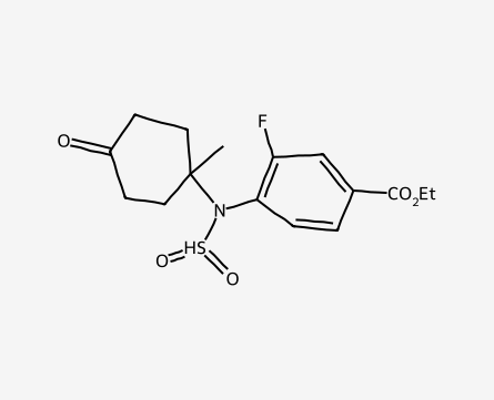 CCOC(=O)c1ccc(N([SH](=O)=O)C2(C)CCC(=O)CC2)c(F)c1